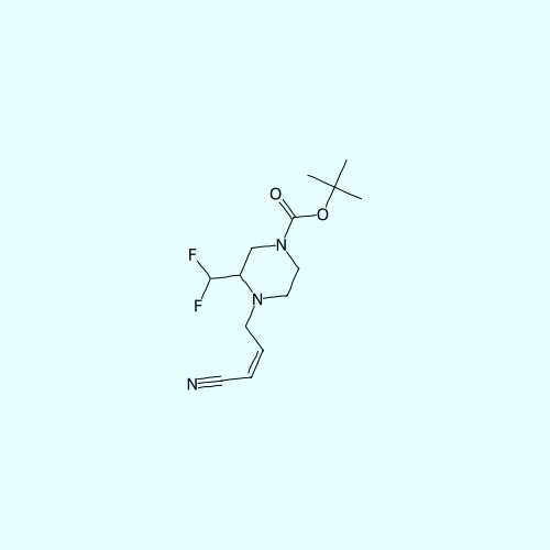 CC(C)(C)OC(=O)N1CCN(C/C=C\C#N)C(C(F)F)C1